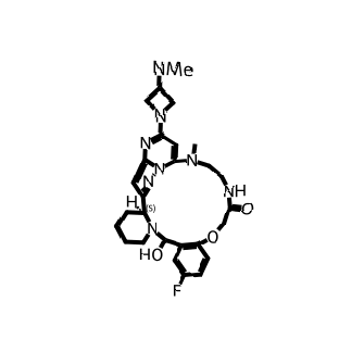 CNC1CN(c2cc3n4nc(cc4n2)[C@@H]2CCCCN2C(O)c2cc(F)ccc2OCC(=O)NCCN3C)C1